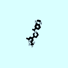 Cc1cc(C2CCCN(C(C)c3ccc4nccnc4c3)C2)cc(C(F)(F)F)n1